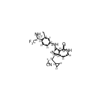 Cc1cc(Nc2nn([C@@H](CC#N)C3CC3)c3cc[nH]c(=O)c23)ccc1[C@@H](N)C(F)(F)F